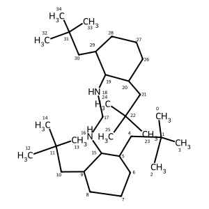 CC(C)(C)CC1CCCC(CC(C)(C)C)C1NCNC1C(CC(C)(C)C)CCCC1CC(C)(C)C